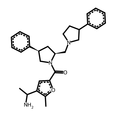 Cc1oc(C(=O)N2C[C@@H](c3ccccc3)C[C@H]2CN2CCC(c3ccccc3)C2)cc1C(C)N